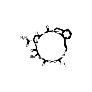 CC1CC/C=C/c2cccc3c2CN(C3)C(=O)O[C@@H]2C[C@@H](C(N)=O)N(C2)C(=O)C(C(C)(C)C)NC(=O)OC1